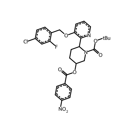 CC(C)(C)OC(=O)N1CC(OC(=O)c2ccc([N+](=O)[O-])cc2)CCC1c1ncccc1OCc1ccc(Cl)cc1F